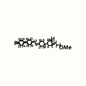 COCCC[SiH]1CCC([C@H]2CC[C@H](CCc3ccc(-c4ccc(F)cc4)cc3)CC2)CC1